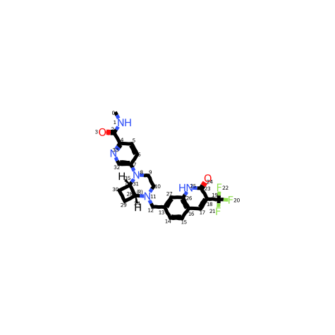 CNC(=O)c1ccc(N2CCN(Cc3ccc4cc(C(F)(F)F)c(=O)[nH]c4c3)[C@@H]3CC[C@@H]32)cn1